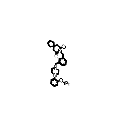 CC(C)Oc1ccccc1N1CCN(Cc2cccc(CN3C(=O)CC4(CCCC4)CC3=O)c2)CC1